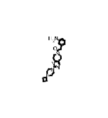 Nc1cccc(CC(=O)N2CCc3cnc(N4CCN(C5CCC5)CC4)nc3CC2)c1